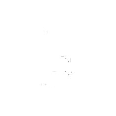 CCCCCCCCCCCCCCCC(=O)NCC[N+](C)(C)CCCC(=O)[O-]